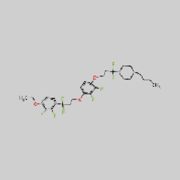 CCCCC1CCC(C(F)(F)CCOc2ccc(OCCC(F)(F)c3ccc(OCC)c(F)c3F)c(F)c2F)CC1